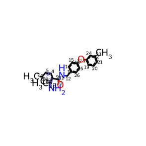 C/C(N)=C(\C=C/C(C)C)C(=O)NCc1ccc(Oc2cccc(C)c2)cc1